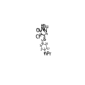 CCCC1CCC(CSc2cnn(C(C)(C)C)c(=O)c2Cl)CC1